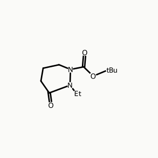 CCN1C(=O)CCCN1C(=O)OC(C)(C)C